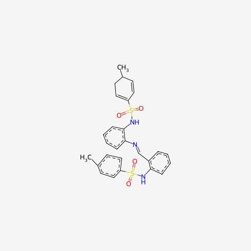 Cc1ccc(S(=O)(=O)Nc2ccccc2C=Nc2ccccc2NS(=O)(=O)C2=CCC(C)C=C2)cc1